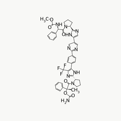 COC(=O)N[C@@H](C(=O)N1CCC[C@H]1c1ncc(-c2cnc(-c3ccc(-c4[nH]c([C@@H]5CCCN5C(=O)[C@](C)(OC(N)=O)c5ccccc5)nc4C(F)(F)F)cc3)nc2)[nH]1)c1ccccc1